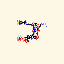 CC[C@@]1(O)C(=O)OCc2c1cc1n(c2=O)Cc2c-1nc1cc3c(cc1c2CNC(=O)CNC(=O)C(CCCCN)NC(=O)C(NC(=O)CCCCCn1cc(-c2cnc(S(C)(=O)=O)nc2)nn1)C(C)C)OCO3.O=C(O)C(F)(F)F